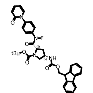 CC(C)(C)OC(=O)N1C[C@@H](NC(=O)OCC2c3ccccc3-c3ccccc32)C[C@H]1C(=O)N(F)c1ccc(-n2ccccc2=O)cc1